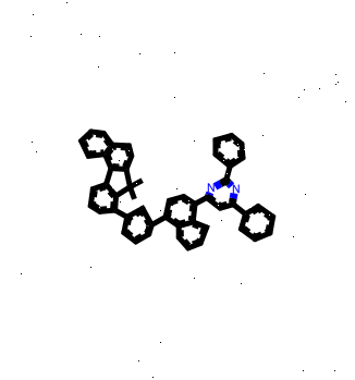 CC1(C)c2ccc3ccccc3c2-c2cccc(-c3cccc(-c4ccc(-c5cc(-c6ccccc6)nc(-c6ccccc6)n5)c5ccccc45)c3)c21